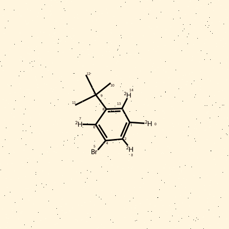 [2H]c1c([2H])c(Br)c([2H])c(C(C)(C)C)c1[2H]